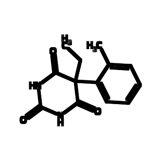 CCC1(c2ccccc2C)C(=O)NC(=O)NC1=O